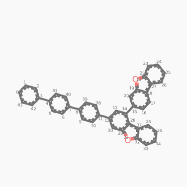 c1ccc(-c2ccc(-c3ccc(-c4cc(-c5ccc6c(c5)oc5ccccc56)c5c(c4)oc4ccccc45)cc3)cc2)cc1